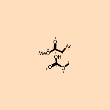 COC(=O)CC(C)=O.COC(=O)O